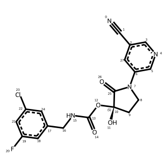 N#Cc1cncc(N2CC[C@](O)(OC(=O)NCc3cc(F)cc(Cl)c3)C2=O)c1